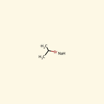 [CH2]C(C)Br.[NaH]